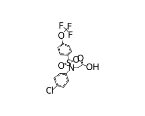 O=C(O)CN(c1ccc(Cl)cc1)S(=O)(=O)c1ccc(OC(F)(F)F)cc1